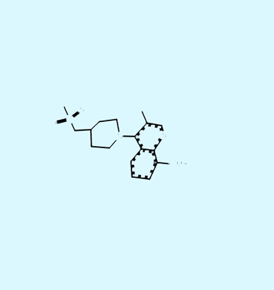 COc1cccc2c(N3CCC(CS(C)(=N)=O)CC3)c(F)cnc12